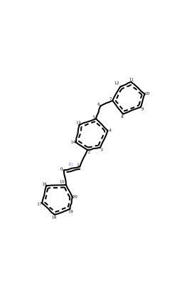 C(=C\c1ccc(Cc2ccccc2)cc1)/c1ccccc1